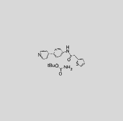 CC(C)(C)OC(N)=O.O=C(Cc1cccs1)Nc1ccc(-c2ccncc2)cc1